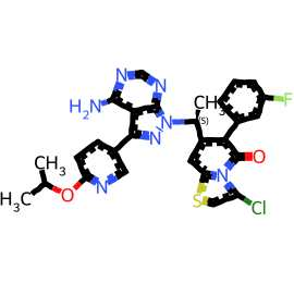 CC(C)Oc1ccc(-c2nn([C@@H](C)c3cc4scc(Cl)n4c(=O)c3-c3cccc(F)c3)c3ncnc(N)c23)cn1